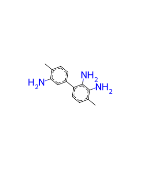 Cc1ccc(-c2ccc(C)c(N)c2N)cc1N